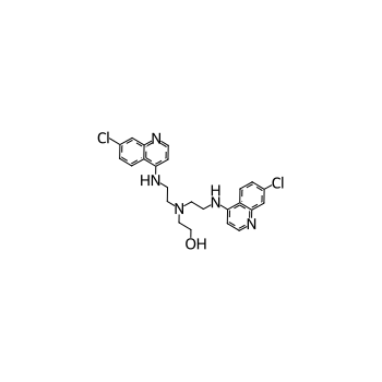 OCCN(CCNc1ccnc2cc(Cl)ccc12)CCNc1ccnc2cc(Cl)ccc12